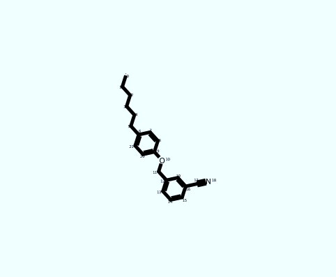 [CH2]CCCCCc1ccc(OCc2cccc(C#N)c2)cc1